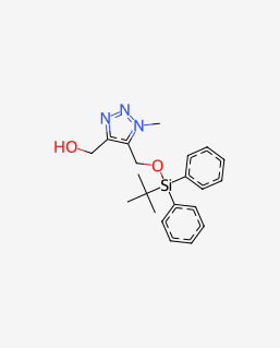 Cn1nnc(CO)c1CO[Si](c1ccccc1)(c1ccccc1)C(C)(C)C